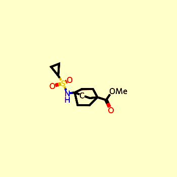 COC(=O)C12CCC(NS(=O)(=O)C3CC3)(CC1)CC2